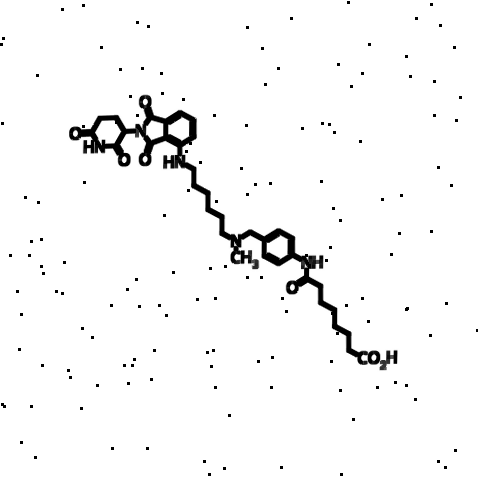 CN(CCCCCCNc1cccc2c1C(=O)N(C1CCC(=O)NC1=O)C2=O)Cc1ccc(NC(=O)CCCCCCC(=O)O)cc1